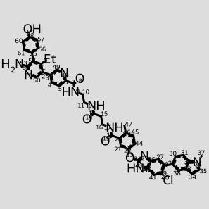 CCc1c(-c2ccc(C(=O)NCCNC(=O)CCNC(=O)c3cc(Oc4nc5cc(-c6ccc7c(ccn7C)c6)c(Cl)cc5[nH]4)ccc3C)nc2)cnc(N)c1-c1ccc(O)cc1